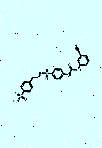 N#Cc1cccc(NC(=O)Nc2ccc(S(=O)(=O)NCCc3ccc(S(N)(=O)=O)cc3)cc2)c1